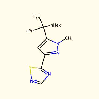 CCCCCCC(C)(CCC)c1cc(-c2ncns2)nn1C